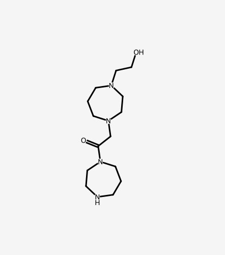 O=C(CN1CCCN(CCO)CC1)N1CCCNCC1